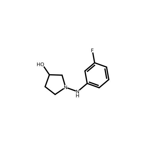 OC1CCN(Nc2cccc(F)c2)C1